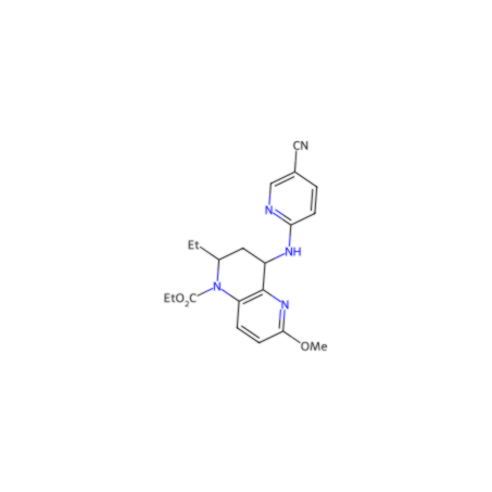 CCOC(=O)N1c2ccc(OC)nc2C(Nc2ccc(C#N)cn2)CC1CC